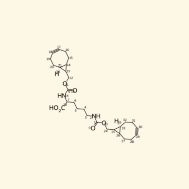 O=C(NCCCCC(NC(=O)OCC1C2CCC#CCC[C@@H]21)C(=O)O)OCC1C2CCC#CCC[C@@H]21